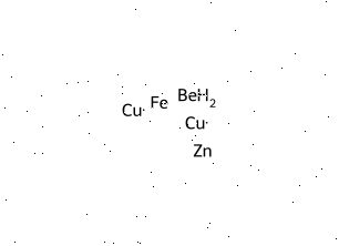 [BeH2].[Cu].[Cu].[Fe].[Zn]